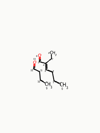 CCC/C=C(/C=O)CC.CCCC=O